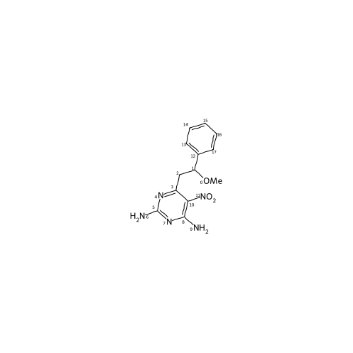 COC(Cc1nc(N)nc(N)c1[N+](=O)[O-])c1ccccc1